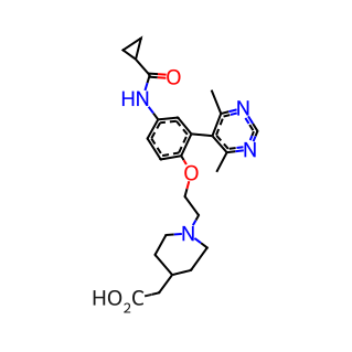 Cc1ncnc(C)c1-c1cc(NC(=O)C2CC2)ccc1OCCN1CCC(CC(=O)O)CC1